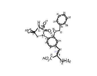 CC(=O)N/C(=C/c1ccc(N2CC(=O)NS2(=O)=O)c(OCc2ccccc2)c1)C(=O)O